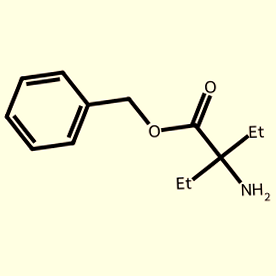 CCC(N)(CC)C(=O)OCc1ccccc1